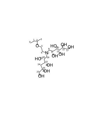 CCC(C)OCCN(C[C@@H](O)[C@H](O)[C@@H](O)[C@@H](O)CO)C[C@@H](O)[C@H](O)C[C@@H](O)CO